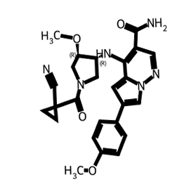 COc1ccc(-c2cc3c(N[C@@H]4CN(C(=O)C5(C#N)CC5)C[C@H]4OC)c(C(N)=O)cnn3c2)cc1